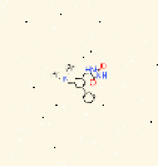 CC(C)CN(Cc1cc(CC2NC(=O)NC2=O)cc(-c2ccccc2)c1)CC(C)C